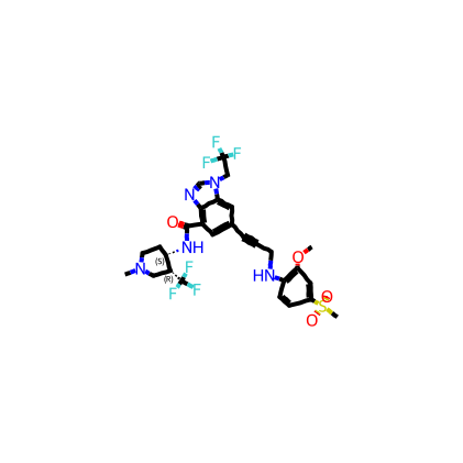 COc1cc(S(C)(=O)=O)ccc1NCC#Cc1cc(C(=O)N[C@H]2CCN(C)C[C@H]2C(F)(F)F)c2ncn(CC(F)(F)F)c2c1